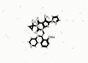 COc1ccccc1[C@H](Cn1c(=O)n(C2(C(=O)O)CC2)c(=O)c2c(C)c(-n3cccn3)sc21)OC1CCOCC1